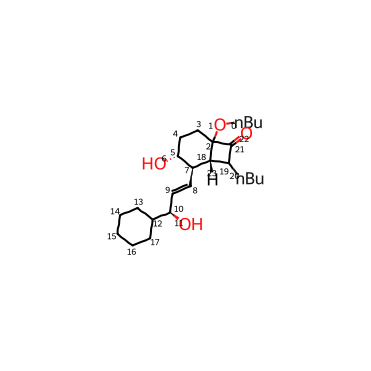 CCCCOC12CC[C@@H](O)[C@H](/C=C/[C@@H](O)C3CCCCC3)[C@H]1C(CCCC)C2=O